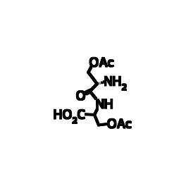 CC(=O)OCC(NC(=O)[C@@H](N)COC(C)=O)C(=O)O